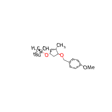 COc1ccc(CO[C@H]2C[C@H](O[Si](C)(C)C(C)(C)C)C=C2C)cc1